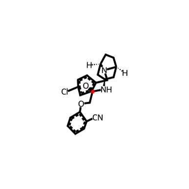 N#Cc1ccccc1OCC(=O)N[C@H]1C[C@H]2CC[C@@H](C1)N2Cc1ccc(Cl)cc1